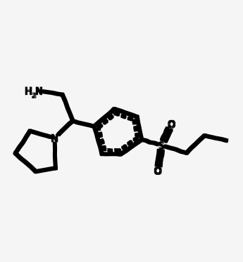 CCCS(=O)(=O)c1ccc(C(CN)N2CCCC2)cc1